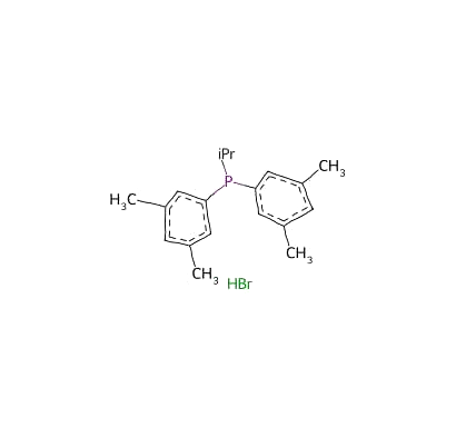 Br.Cc1cc(C)cc(P(c2cc(C)cc(C)c2)C(C)C)c1